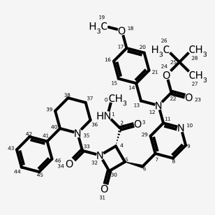 CNC(=O)[C@@H]1[C@@H](Cc2ccnc(N(Cc3ccc(OC)cc3)C(=O)OC(C)(C)C)c2)C(=O)N1C(=O)N1CCCCC1c1ccccc1